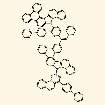 c1ccc(-c2ccc(-c3nc4c(-c5ccc6c(c5)c5ccccc5c5ccc7c(c8ccc9ccccc9c8n7-c7nc(-c8ccc(-c9ccccc9)cc8)c8ccc9ccccc9c8n7)c56)cc5ccccc5c4nc3-n3c4ccc5c6ccccc6c6ccccc6c5c4c4ccc5ccccc5c43)cc2)cc1